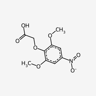 COc1cc([N+](=O)[O-])cc(OC)c1OCC(=O)O